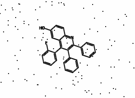 Oc1ccc2nc(-c3ccccc3)c(-c3ccccc3)c(-c3ccccc3F)c2c1